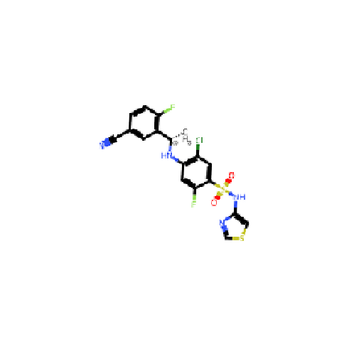 C[C@H](Nc1cc(F)c(S(=O)(=O)Nc2cscn2)cc1Cl)c1cc(C#N)ccc1F